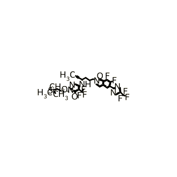 CC#CC(CCCn1ccc2cc(-c3ncc(C(F)(F)F)cn3)c(F)c(F)c2c1=O)Nc1cnn(COCC[Si](C)(C)C)c(=O)c1C(F)(F)F